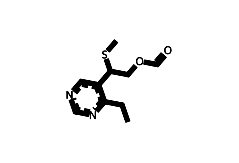 CCc1ncncc1C(COC=O)SC